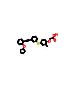 Cc1cc(Sc2cccc(C#Cc3ccccc3OC3CCCC3)c2)ccc1OCC(=O)O